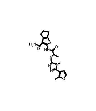 Cc1occc1-c1nnc(SC(C)C(=O)Nc2sc3c(c2C(N)=O)CCC3)n1C